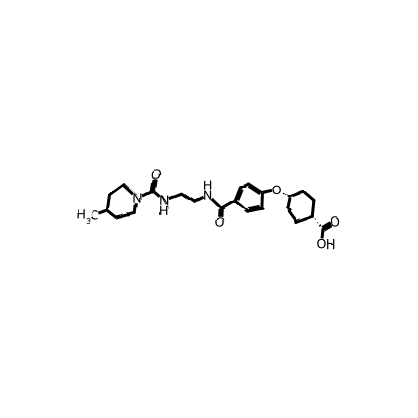 CC1CCN(C(=O)NCCNC(=O)c2ccc(O[C@H]3CC[C@@H](C(=O)O)CC3)cc2)CC1